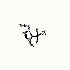 CCCCCCN1N=CN(C(C)C)C1C(F)(F)C(F)(F)F